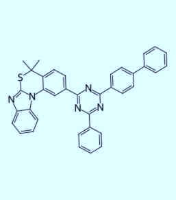 CC1(C)Sc2nc3ccccc3n2-c2cc(-c3nc(-c4ccccc4)nc(-c4ccc(-c5ccccc5)cc4)n3)ccc21